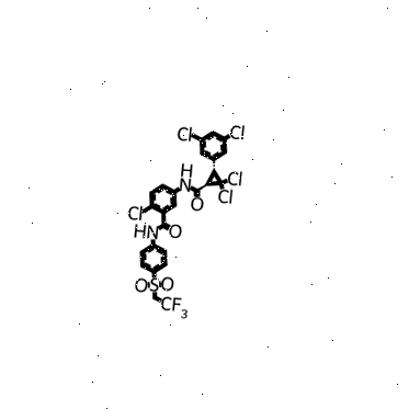 O=C(Nc1ccc(S(=O)(=O)CC(F)(F)F)cc1)c1cc(NC(=O)[C@H]2[C@H](c3cc(Cl)cc(Cl)c3)C2(Cl)Cl)ccc1Cl